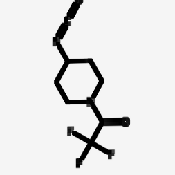 O=C=NC1CCN(C(=O)C(F)(F)F)CC1